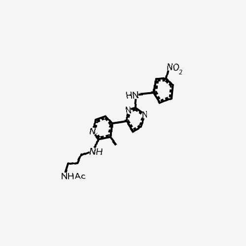 CC(=O)NCCCNc1nccc(-c2ccnc(Nc3cccc([N+](=O)[O-])c3)n2)c1C